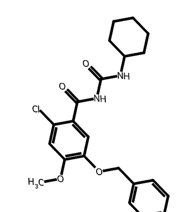 COc1cc(Cl)c(C(=O)NC(=O)NC2CCCCC2)cc1OCc1ccccc1